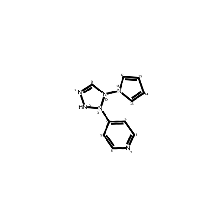 [C]1=NNN(c2ccncc2)N1n1cccc1